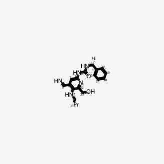 CC(C)CNc1c(C=N)cc(NC(=O)N[C@H](C)c2ccccc2)nc1CO